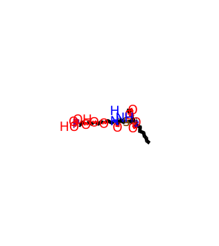 CCCCCCCC(=O)O[C@H](COC(C)=O)CSC[C@H](N)C(=O)NCCOCCOCCOCCP(=O)(O)O